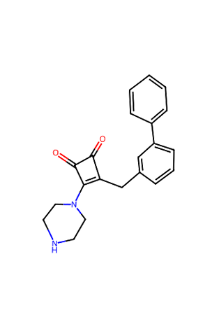 O=c1c(Cc2cccc(-c3ccccc3)c2)c(N2CCNCC2)c1=O